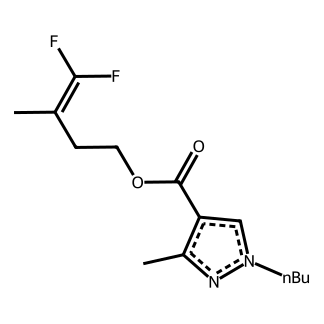 CCCCn1cc(C(=O)OCCC(C)=C(F)F)c(C)n1